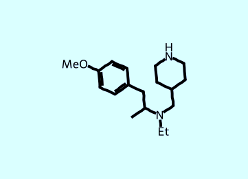 CCN(CC1CCNCC1)C(C)Cc1ccc(OC)cc1